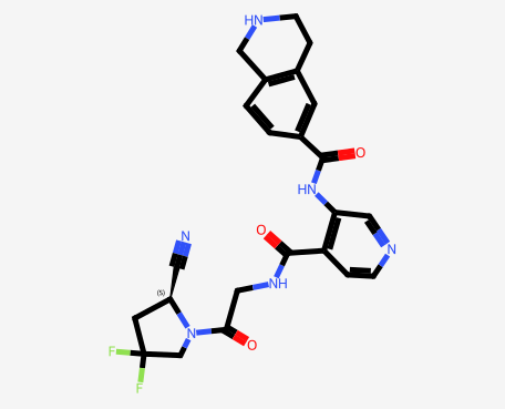 N#C[C@@H]1CC(F)(F)CN1C(=O)CNC(=O)c1ccncc1NC(=O)c1ccc2c(c1)CCNC2